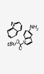 CC(C)(C)OC(=O)n1ccc2cc(N)ccc21.c1ccc2ncccc2c1